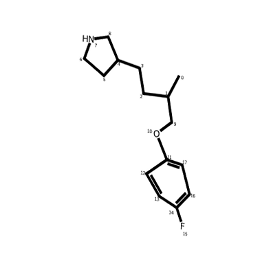 CC(CCC1CCNC1)COc1ccc(F)cc1